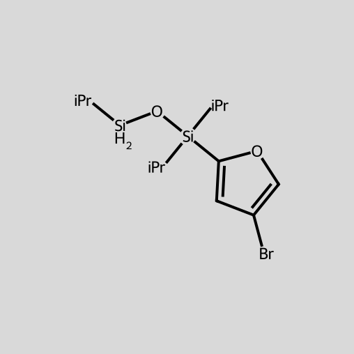 CC(C)[SiH2]O[Si](c1cc(Br)co1)(C(C)C)C(C)C